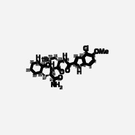 COc1ccc2[nH]c(C(=O)N[C@@H](CC(C)(C)C)C(=O)N[C@@H](C[C@@H]3CCCNC3=O)C(N)=O)cc2c1Cl